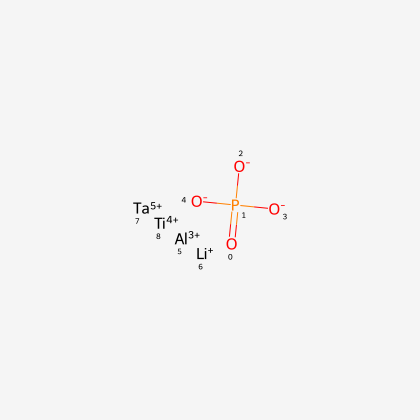 O=P([O-])([O-])[O-].[Al+3].[Li+].[Ta+5].[Ti+4]